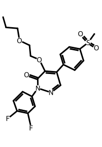 CCCOCCOc1c(-c2ccc(S(C)(=O)=O)cc2)cnn(-c2ccc(F)c(F)c2)c1=O